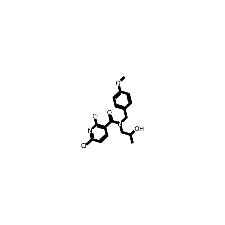 COc1ccc(CN(CC(C)O)C(=O)c2ccc(Cl)nc2Cl)cc1